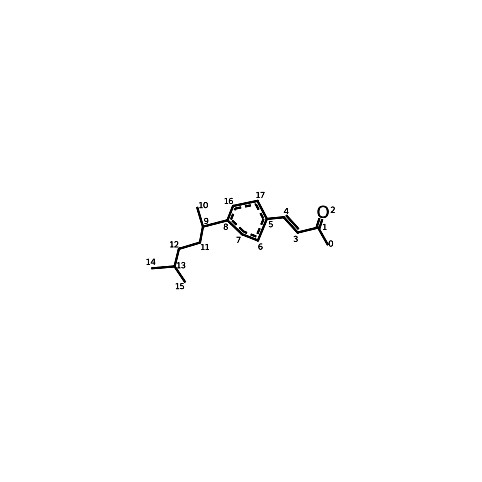 CC(=O)C=Cc1ccc(C(C)CCC(C)C)cc1